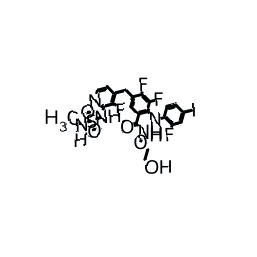 CNS(=O)(=O)Nc1nccc(Cc2cc(C(=O)NOCCO)c(Nc3ccc(I)cc3F)c(F)c2F)c1F